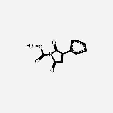 COC(=O)N1C(=O)C=C(c2ccccc2)C1=O